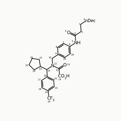 CCCCCCCCCCCCC(=O)Nc1ccc(CN(C(=O)C(=O)O)C(c2ccc(C(F)(F)F)cc2)C2CCCC2)cc1